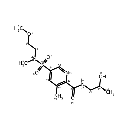 COCCN(C)S(=O)(=O)c1cnc(C(=O)NC[C@H](C)O)c(N)c1